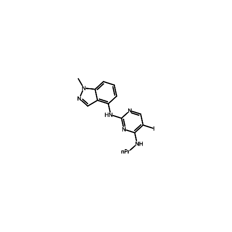 CCCNc1nc(Nc2cccc3c2cnn3C)ncc1I